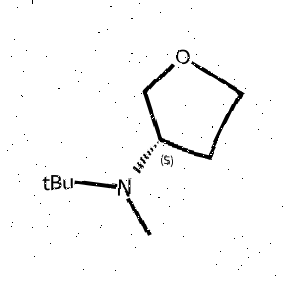 CN([C@H]1CCOC1)C(C)(C)C